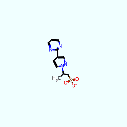 CC(CS(=O)(=O)[O-])[n+]1ccc(-c2ncccn2)cn1